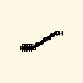 OCCOCCOCCOCCOCCOCCOC(F)(F)C(F)(F)C(F)(F)C(F)(F)C(F)(F)C(F)(F)F